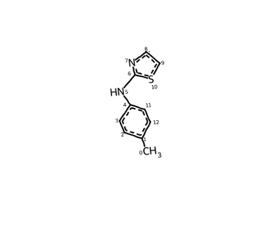 Cc1ccc(Nc2n[c]cs2)cc1